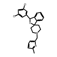 Cc1cccc(CN2CCC3(CC2)OC(c2cc(Cl)cc(Cl)c2)c2ccccc23)n1